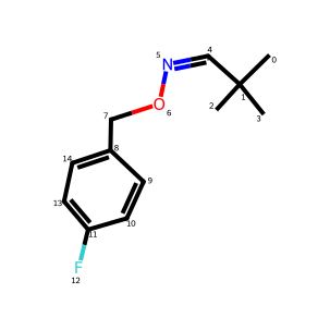 CC(C)(C)/[C]=N\OCc1ccc(F)cc1